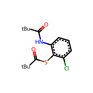 CC(C)(C)C(=O)Nc1cccc(Cl)c1SC(=O)C(C)(C)C